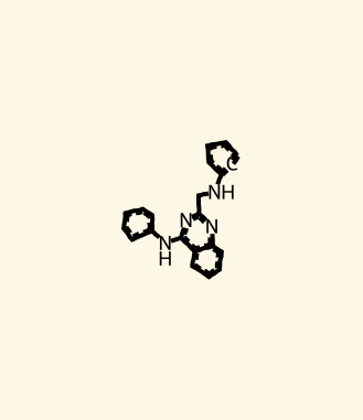 c1ccc(NCc2nc(Nc3ccccc3)c3ccccc3n2)cc1